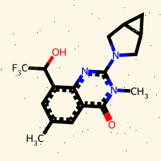 Cc1cc(C(O)C(F)(F)F)c2nc(N3CC4CC4C3)n(C)c(=O)c2c1